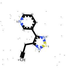 C#CCc1nsnc1-c1cccnc1